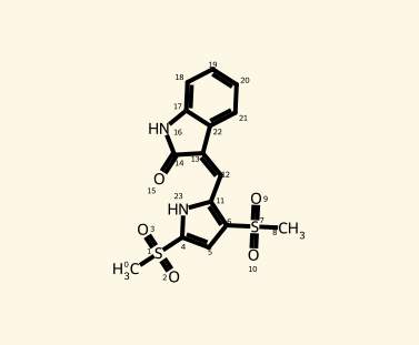 CS(=O)(=O)c1cc(S(C)(=O)=O)c(C=C2C(=O)Nc3ccccc32)[nH]1